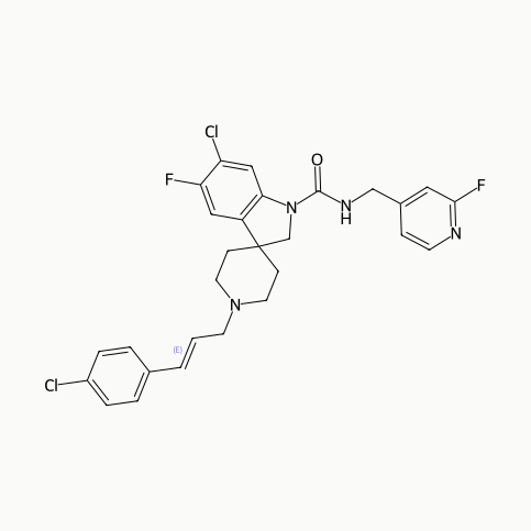 O=C(NCc1ccnc(F)c1)N1CC2(CCN(C/C=C/c3ccc(Cl)cc3)CC2)c2cc(F)c(Cl)cc21